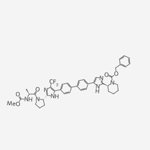 COC(=O)N[C@@H](C)C(=O)N1CCC[C@H]1c1nc(C(F)(F)F)c(-c2ccc(-c3ccc(-c4cnc([C@@H]5CCCCN5C(=O)OCc5ccccc5)[nH]4)cc3)cc2)[nH]1